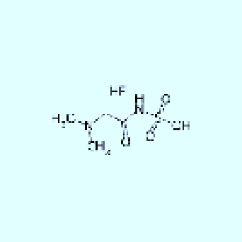 CN(C)CC(=O)NS(=O)(=O)O.F